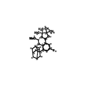 COCOc1c(B2OC(C)(C)C(C)(C)O2)cc(F)cc1C12CC3CC(CC(C3)C1)C2